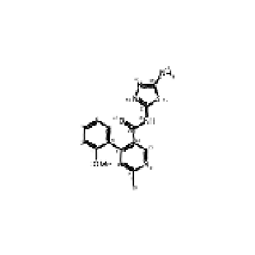 COc1ccccc1-c1cc(C)ncc1C(=O)Nc1nnc(N)s1